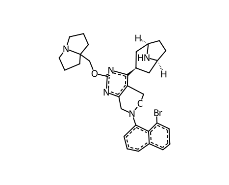 Brc1cccc2cccc(N3CCc4c(nc(OCC56CCCN5CCC6)nc4[C@H]4C[C@H]5CC[C@@H](C4)N5)C3)c12